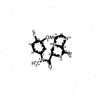 COc1cc(N(C)C(=O)c2cn3ccnc3c(Br)n2)ccc1F